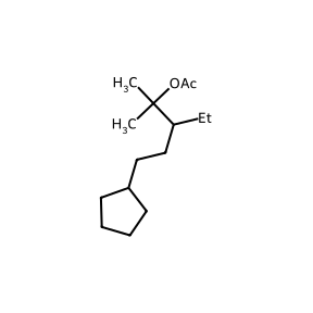 CCC(CCC1CCCC1)C(C)(C)OC(C)=O